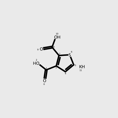 O=C(O)c1ccsc1C(=O)O.[KH]